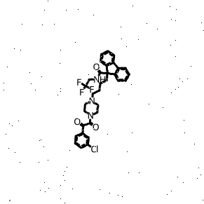 O=C(C(=O)N1CCN(CCCCC2(C(=O)NCC(F)(F)F)c3ccccc3-c3ccccc32)CC1)c1cccc(Cl)c1